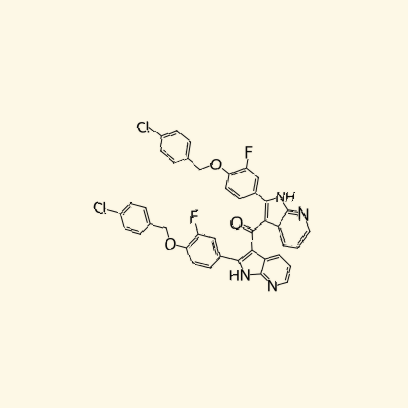 O=C(c1c(-c2ccc(OCc3ccc(Cl)cc3)c(F)c2)[nH]c2ncccc12)c1c(-c2ccc(OCc3ccc(Cl)cc3)c(F)c2)[nH]c2ncccc12